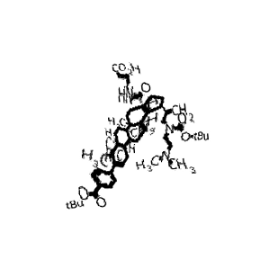 C=C(CN(CCN(C)C)C(=O)OC(C)(C)C)[C@@H]1CC[C@]2(C(=O)NCCC(=O)O)CC[C@]3(C)[C@H](CC[C@@H]4[C@@]5(C)CC=C(c6ccc(C(=O)OC(C)(C)C)cc6)C(C)(C)C5CC[C@]43C)[C@@H]12